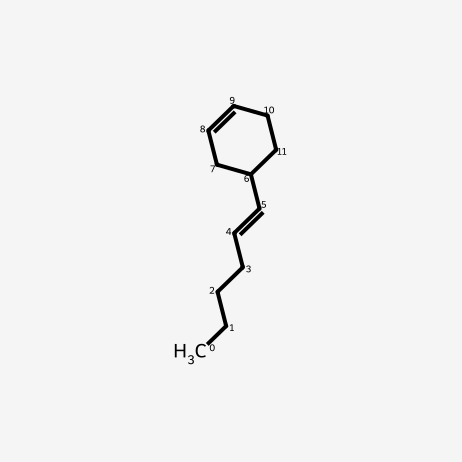 CCCC/C=C/C1CC=CCC1